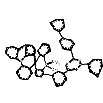 CS1(C)c2ccccc2C2(c3ccccc3-n3c4ccccc4c4cccc2c43)c2cccc(-c3cccc(-c4nc(-c5ccccc5)nc(-c5ccc(-c6ccccc6)cc5)n4)c3)c21